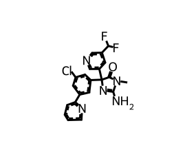 CN1C(=O)C(c2cc(Cl)cc(-c3ccccn3)c2)(c2cncc(C(F)F)c2)N=C1N